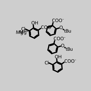 CC(C)(C)Oc1ccccc1C(=O)[O-].CC(C)(C)Oc1ccccc1C(=O)[O-].O=C([O-])c1cccc(Cl)c1O.O=C([O-])c1cccc(Cl)c1O.[Mg+2].[Mg+2]